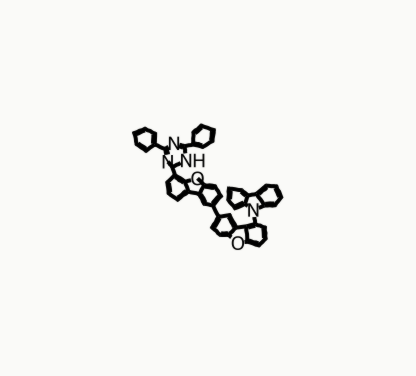 c1ccc(C2=NC(c3cccc4c3oc3ccc(-c5ccc6oc7cccc(-n8c9ccccc9c9ccccc98)c7c6c5)cc34)NC(c3ccccc3)=N2)cc1